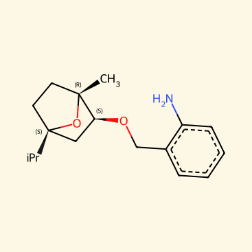 CC(C)[C@@]12CC[C@@](C)(O1)[C@@H](OCc1ccccc1N)C2